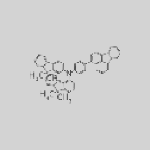 CC1(C)c2ccccc2-c2ccc(N(c3ccc(-c4ccc5c6c(cccc46)-c4ccccc4-5)cc3)c3cccc4c3-c3ccccc3C4(C)C)cc21